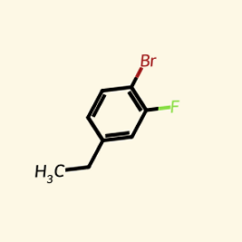 CCc1ccc(Br)c(F)c1